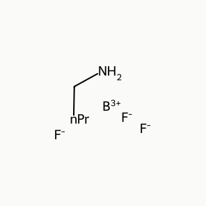 CCCCN.[B+3].[F-].[F-].[F-]